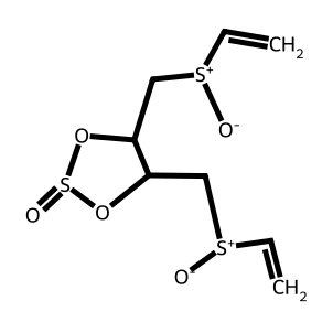 C=C[S+]([O-])CC1OS(=O)OC1C[S+]([O-])C=C